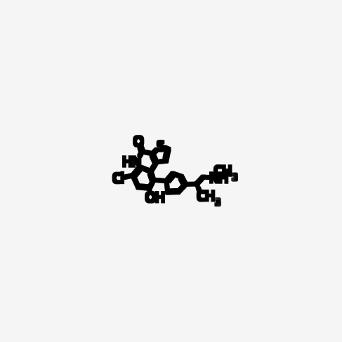 CNC[C@@H](C)c1ccc(-c2c(O)cc(Cl)c3[nH]c(=O)c4sccc4c23)cc1